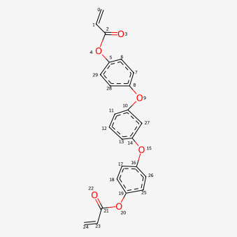 C=CC(=O)Oc1ccc(Oc2cccc(Oc3ccc(OC(=O)C=C)cc3)c2)cc1